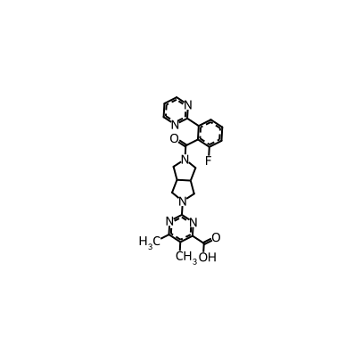 Cc1nc(N2CC3CN(C(=O)c4c(F)cccc4-c4ncccn4)CC3C2)nc(C(=O)O)c1C